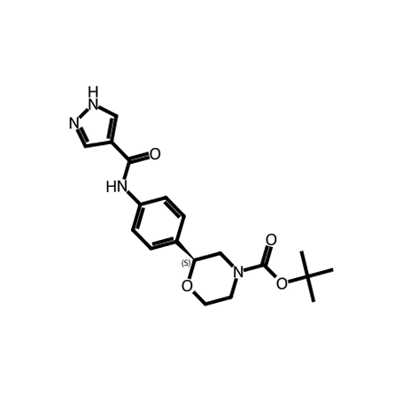 CC(C)(C)OC(=O)N1CCO[C@@H](c2ccc(NC(=O)c3cn[nH]c3)cc2)C1